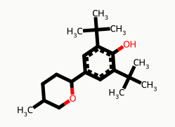 CC1CCC(c2cc(C(C)(C)C)c(O)c(C(C)(C)C)c2)OC1